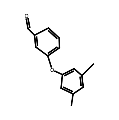 Cc1cc(C)cc(Oc2cccc(C=O)c2)c1